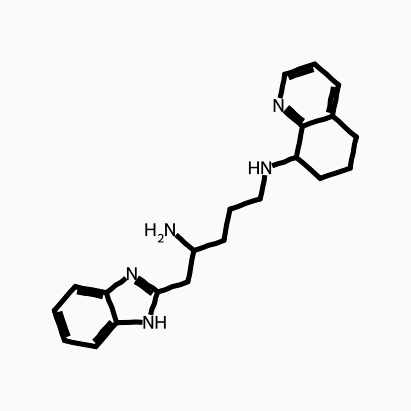 NC(CCCNC1CCCc2cccnc21)Cc1nc2ccccc2[nH]1